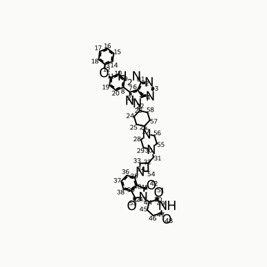 Nc1ncnc2c1c(-c1ccc(Oc3ccccc3)cc1)nn2C1CCC(N2CCN(CC3CN(c4cccc5c4C(=O)N(C4CCC(=O)NC4=O)C5=O)C3)CC2)CC1